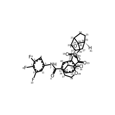 O=C(Nc1cc(F)c(F)c(F)c1)c1ccc(Cl)c(S(=O)(=O)[C@@H]2CC3CC[C@@H](C2)[C@@]3(O)CNC(=O)C2CCCCO2)c1